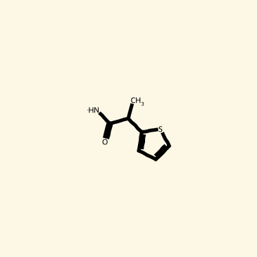 CC(C([NH])=O)c1cccs1